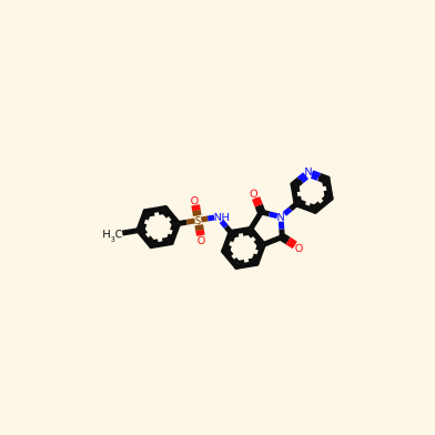 Cc1ccc(S(=O)(=O)Nc2cccc3c2C(=O)N(c2cccnc2)C3=O)cc1